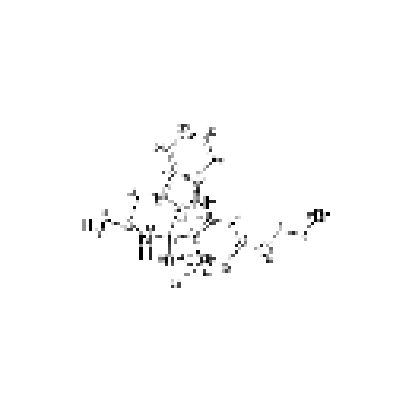 CCCCCC1(c2ccc(OCCBr)cc2F)NC(C)Cc2c1[nH]c1ccccc21